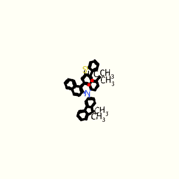 CC(C)(C)c1ccc(N(c2ccc3c(c2)-c2ccccc2C3(C)C)c2ccc3ccccc3c2-c2ccc3c(c2)sc2ccccc23)cc1